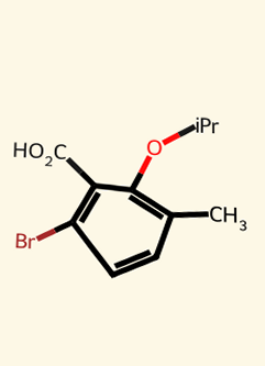 Cc1ccc(Br)c(C(=O)O)c1OC(C)C